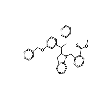 COC(=S)c1ccccc1CN1c2ccccc2CC1C(Cc1ccccc1)c1cccc(OCc2ccccc2)c1